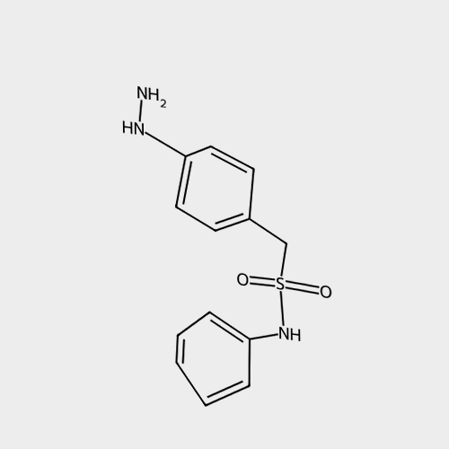 NNc1ccc(CS(=O)(=O)Nc2ccccc2)cc1